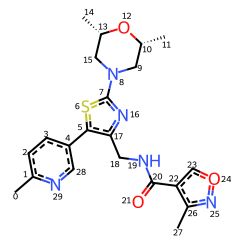 Cc1ccc(-c2sc(N3C[C@@H](C)O[C@@H](C)C3)nc2CNC(=O)c2conc2C)cn1